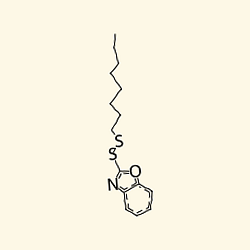 CCCCCCCCSSc1nc2ccccc2o1